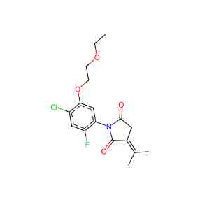 CCOCCOc1cc(N2C(=O)CC(=C(C)C)C2=O)c(F)cc1Cl